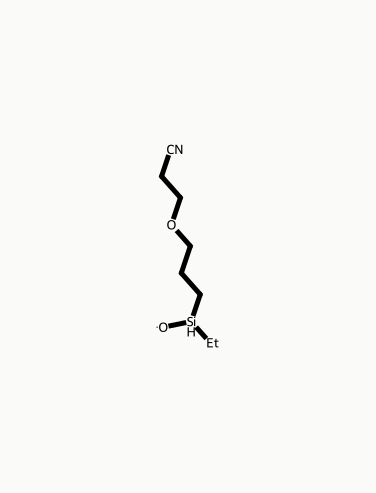 CC[SiH]([O])CCCOCCC#N